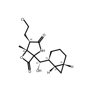 C[C@]12OC(=O)C1([C@@H](O)[C@H]1CCC[C@@H]3C[C@@H]31)NC(=O)[C@@H]2CCCl